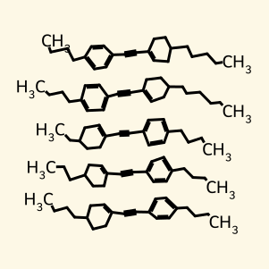 CCCCCC1CC=C(C#Cc2ccc(CCCC)cc2)CC1.CCCCCCC1CC=C(C#Cc2ccc(CCCC)cc2)CC1.CCCCc1ccc(C#CC2=CCC(CC)CC2)cc1.CCCCc1ccc(C#CC2=CCC(CCC)CC2)cc1.CCCCc1ccc(C#CC2=CCC(CCCC)CC2)cc1